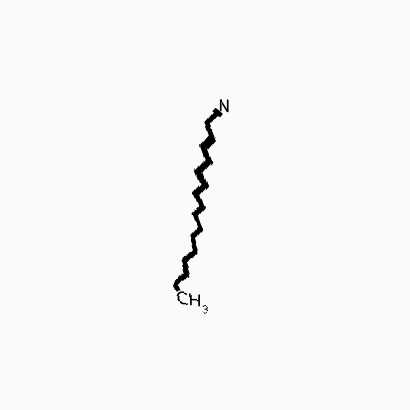 CCCCCCCCCCCCC/C=C/CC#N